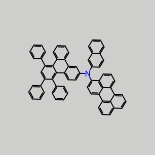 c1ccc(-c2cc(-c3ccccc3)c3c4ccccc4c4cc(N(c5ccc6ccccc6c5)c5ccc6c7cccc8cccc(c9cccc5c96)c87)ccc4c3c2-c2ccccc2)cc1